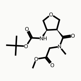 COC(=O)CN(C)C(=O)[C@@H]1COC[C@@H]1NC(=O)OC(C)(C)C